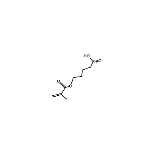 C=C(C)C(=O)OCCCC[PH](=O)O